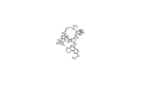 COc1ccc2c(O[C@@H]3C[C@H]4C(=O)N[C@]5(C(=O)NS(=O)(=O)C6(C)CC6)C[C@H]5C=CCC[C@H](C)C[C@@H](C)[C@H](NC(=O)O)C(=O)N4C3)nc3c(c2c1)CCCO3